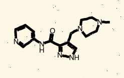 CN1CCN(Cc2c[nH]nc2C(=O)Nc2cccnc2)CC1